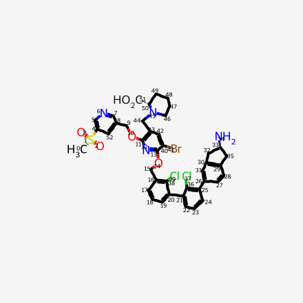 CS(=O)(=O)c1cncc(COc2nc(OCc3cccc(-c4cccc(-c5ccc6c(c5)C[C@@H](N)C6)c4Cl)c3Cl)c(Br)cc2CN2CCCC[C@H]2C(=O)O)c1